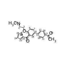 C[N]CCOc1ccc(-c2ccc(C(C)=O)cc2)cc1C(=O)c1cccs1